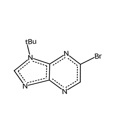 CC(C)(C)n1cnc2ncc(Br)nc21